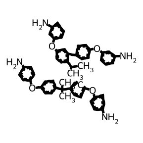 CC(C)(c1ccc(Oc2ccc(N)cc2)cc1)c1ccc(Oc2ccc(N)cc2)cc1.CC(C)c1ccc(Oc2cccc(N)c2)cc1-c1ccc(Oc2cccc(N)c2)cc1